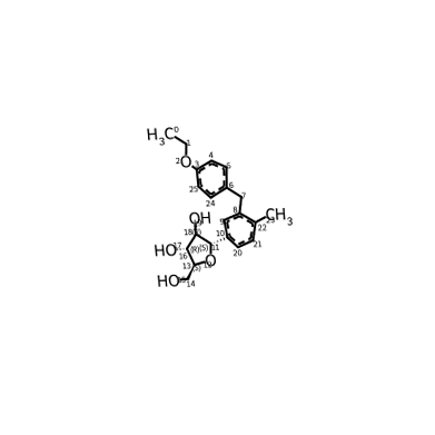 CCOc1ccc(Cc2cc([C@@H]3O[C@@H](CO)[C@H](O)[C@H]3O)ccc2C)cc1